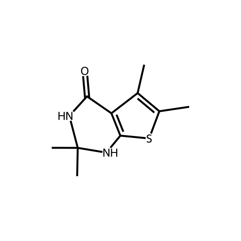 Cc1sc2c(c1C)C(=O)NC(C)(C)N2